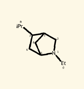 CCN1CC2CC1CC2C(C)C